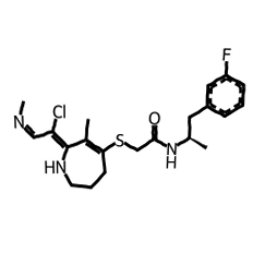 C/N=C\C(Cl)=C1/NCCCC(SCC(=O)N[C@H](C)Cc2cccc(F)c2)=C1C